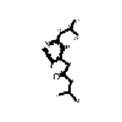 CC(C)CC(=O)Cc1ccnc(CC(C)C)c1